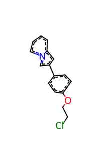 ClCCOc1ccc(-c2cc3ccccn3c2)cc1